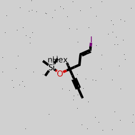 CC#CC(C/C=C/I)(CCCCCC)O[Si](C)(C)C